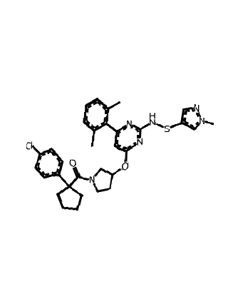 Cc1cccc(C)c1-c1cc(OC2CCN(C(=O)C3(c4ccc(Cl)cc4)CCCC3)C2)nc(NSc2cnn(C)c2)n1